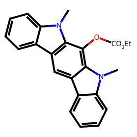 CCOC(=O)Oc1c2c(cc3c4ccccc4n(C)c13)c1ccccc1n2C